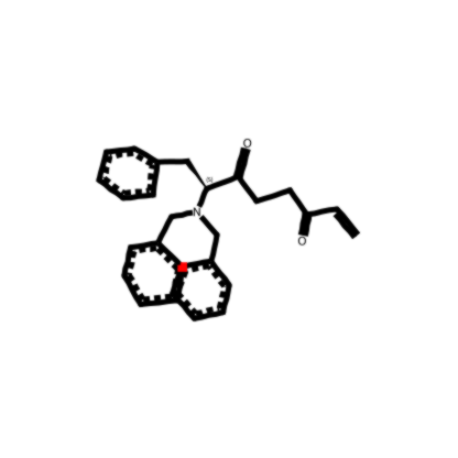 C=CC(=O)CCC(=O)[C@H](Cc1ccccc1)N(Cc1ccccc1)Cc1ccccc1